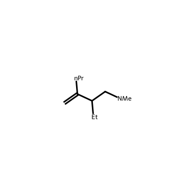 C=C(CCC)C(CC)CNC